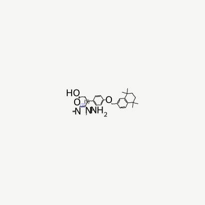 C=N/C=C(/[C@@H](CC(=O)O)c1ccc(OCc2ccc3c(c2)C(C)(C)CCC3(C)C)cc1)N(C)N